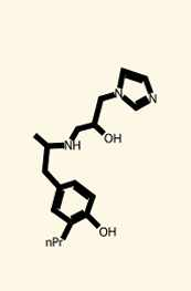 CCCc1cc(CC(C)NCC(O)Cn2ccnc2)ccc1O